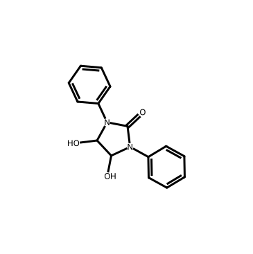 O=C1N(c2ccccc2)C(O)C(O)N1c1ccccc1